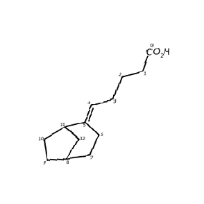 O=C(O)CCC/C=C1\CCC2CCC1C2